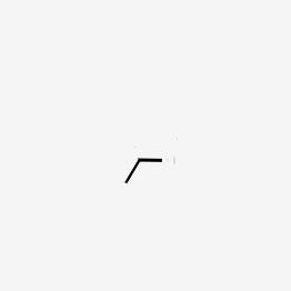 C[CH2][AlH2].[Al+3].[Br-].[Cl-].[Cl-]